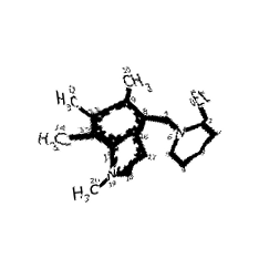 CCC1CCCCN1Cc1c(C)c(C)c(C)c2c1ccn2C